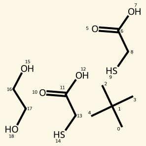 CC(C)(C)C.O=C(O)CS.O=C(O)CS.OCCO